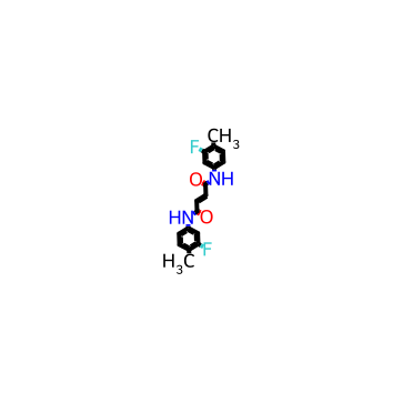 Cc1ccc(NC(=O)C=CC(=O)Nc2ccc(C)c(F)c2)cc1F